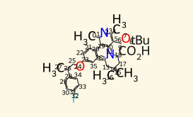 Cc1nc(C)c([C@H](OC(C)(C)C)C(=O)O)c(N2CCC(C)(C)CC2)c1-c1ccc(OCC(C)c2ccc(F)cc2)cc1